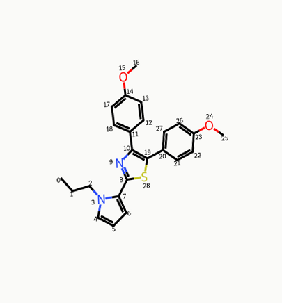 CCCn1cccc1-c1nc(-c2ccc(OC)cc2)c(-c2ccc(OC)cc2)s1